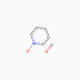 C=O.[O-][n+]1ccccc1